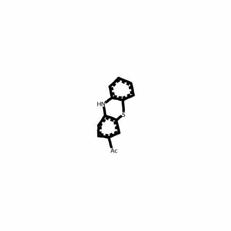 CC(=O)c1ccc2c(c1)Sc1ccccc1N2